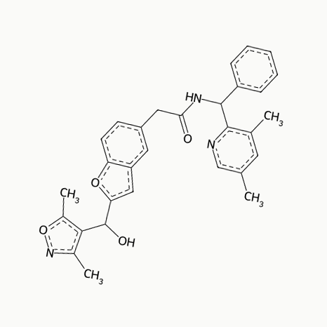 Cc1cnc(C(NC(=O)Cc2ccc3oc(C(O)c4c(C)noc4C)cc3c2)c2ccccc2)c(C)c1